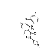 Cc1ccc(Nc2cncc(F)c2C(=O)NC2CN(C)C2)c(F)c1